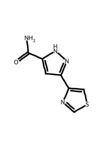 NC(=O)c1cc(-c2cscn2)n[nH]1